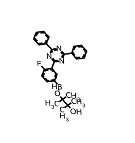 CC(C)(O)C(C)(C)OBc1ccc(F)c(-c2nc(-c3ccccc3)nc(-c3ccccc3)n2)c1